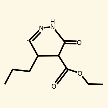 CCCC1[C]=NNC(=O)C1C(=O)OCC